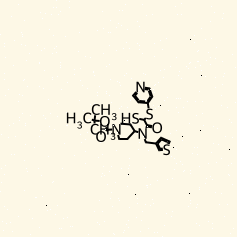 CC(C)(C)OC(=O)N1CCC(N(Cc2ccsc2)C(=O)C(S)Sc2ccncc2)CC1